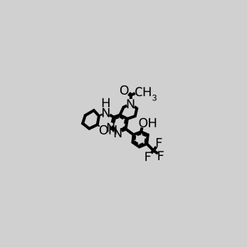 CC(=O)N1CCc2c(-c3ccc(C(F)(F)F)cc3O)nnc(N[C@@H]3CCCC[C@H]3O)c2C1